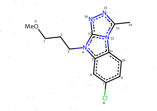 COCCCn1c2cc(Cl)ccc2n2c(C)nnc12